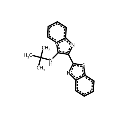 CC(C)(C)Nc1c(-c2nc3ccccc3s2)nc2ccccn12